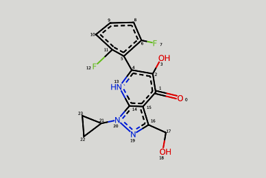 O=c1c(O)c(-c2c(F)cccc2F)[nH]c2c1c(CO)nn2C1CC1